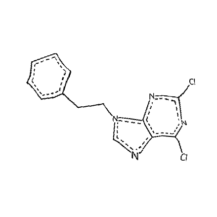 Clc1nc(Cl)c2ncn(CCc3ccccc3)c2n1